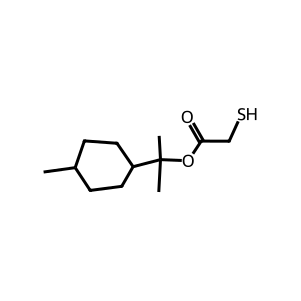 CC1CCC(C(C)(C)OC(=O)CS)CC1